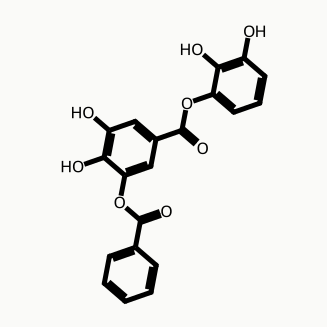 O=C(Oc1cccc(O)c1O)c1cc(O)c(O)c(OC(=O)c2ccccc2)c1